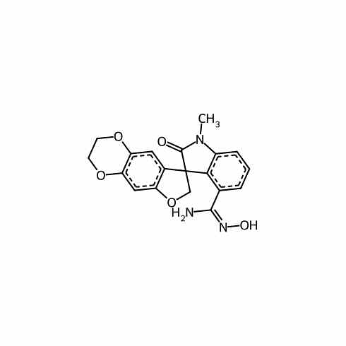 CN1C(=O)C2(COc3cc4c(cc32)OCCO4)c2c(/C(N)=N\O)cccc21